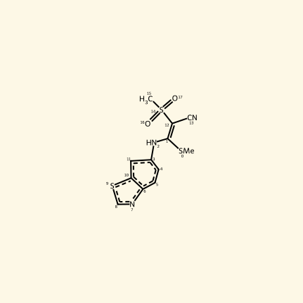 CS/C(Nc1ccc2ncsc2c1)=C(\C#N)S(C)(=O)=O